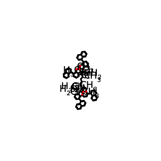 C[SiH2][Zr]([Cl])([Cl])([CH2]CCCC[CH2][Zr]([Cl])([Cl])([SiH2]C)([CH]1C(C)=Cc2c(-c3cccc4ccccc34)cccc21)[CH]1C(C)=Cc2c(-c3cccc4ccccc34)cccc21)([CH]1C(C)=Cc2c(-c3cccc4ccccc34)cccc21)[CH]1C(C)=Cc2c(-c3cccc4ccccc34)cccc21